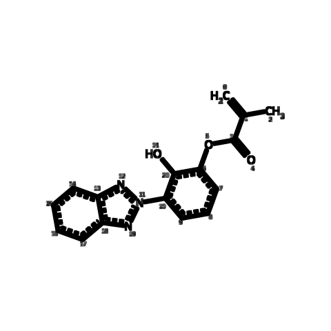 C=C(C)C(=O)Oc1cccc(-n2nc3ccccc3n2)c1O